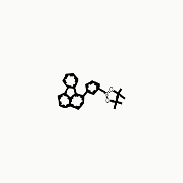 CC1(C)OB(c2cccc(-c3ccc4cccc5c4c3-c3ccccc3-5)c2)OC1(C)C